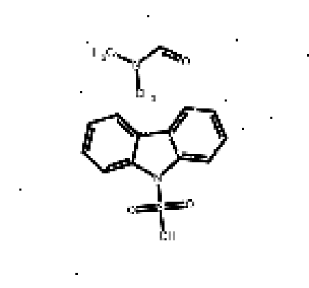 CN(C)C=O.O=S(=O)(O)n1c2ccccc2c2ccccc21